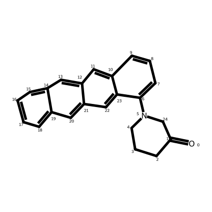 O=C1CCCN(c2cccc3cc4cc5ccccc5cc4cc23)C1